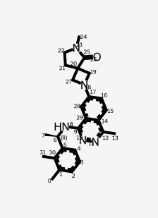 Cc1cccc([C@@H](C)Nc2nnc(C)c3ccc(N4CC5(CCN(C)C5=O)C4)cc23)c1C